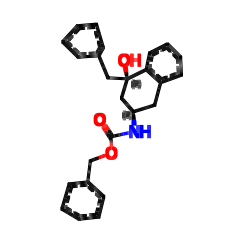 O=C(N[C@@H]1Cc2ccccc2[C@@](O)(Cc2ccccc2)C1)OCc1ccccc1